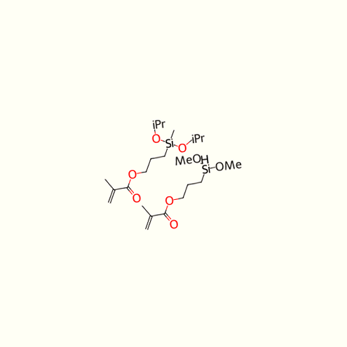 C=C(C)C(=O)OCCC[SiH](OC)OC.C=C(C)C(=O)OCCC[Si](C)(OC(C)C)OC(C)C